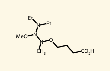 CCN(CC)N(OC)N(C)OCCCC(=O)O